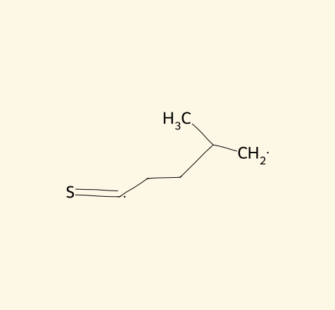 [CH2]C(C)CC[C]=S